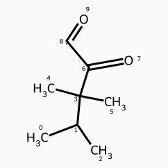 CC(C)C(C)(C)C(=O)[C]=O